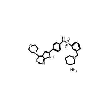 N[C@@H]1CCCN(Cc2cccc(S(=O)(=O)Nc3ccc(-c4cc5c(N6CCOCC6)ncnc5[nH]4)cc3)c2)C1